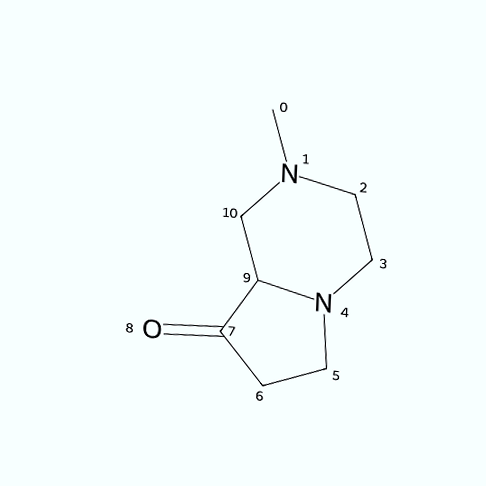 CN1CCN2CCC(=O)C2C1